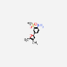 Cc1cc(-c2ccc(N)c(S(C)(=O)=O)c2)oc1C